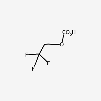 O=C(O)OCC(F)(F)F